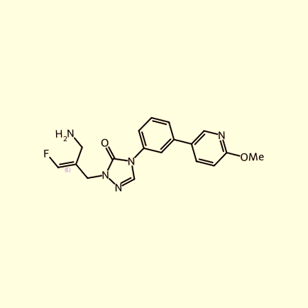 COc1ccc(-c2cccc(-n3cnn(C/C(=C/F)CN)c3=O)c2)cn1